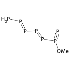 COP(#P)P=PP=PP